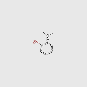 C[SiH](C)c1ccccc1Br